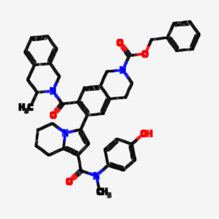 CC1Cc2ccccc2CN1C(=O)c1cc2c(cc1-c1cc(C(=O)N(C)c3ccc(O)cc3)c3n1CCCC3)CCN(C(=O)OCc1ccccc1)C2